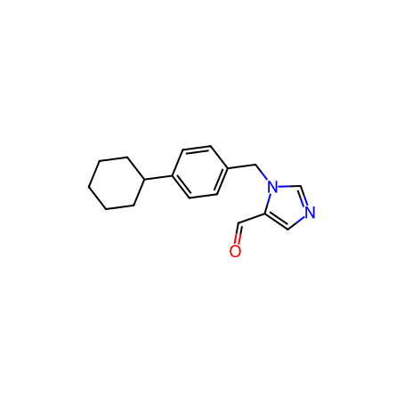 O=Cc1cncn1Cc1ccc(C2CCCCC2)cc1